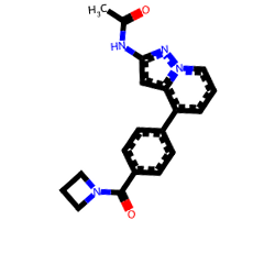 CC(=O)Nc1cc2c(-c3ccc(C(=O)N4CCC4)cc3)cccn2n1